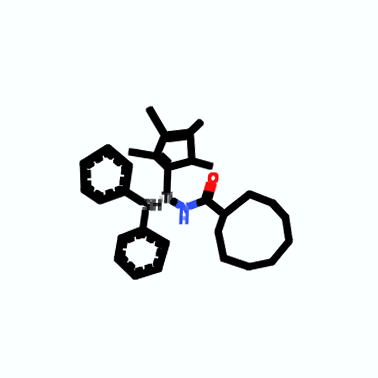 CC1=C(C)C(C)[C]([Ti]([NH]C(=O)C2CCCCCCCC2)[SiH](c2ccccc2)c2ccccc2)=C1C